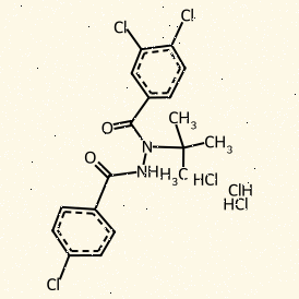 CC(C)(C)N(NC(=O)c1ccc(Cl)cc1)C(=O)c1ccc(Cl)c(Cl)c1.Cl.Cl.Cl